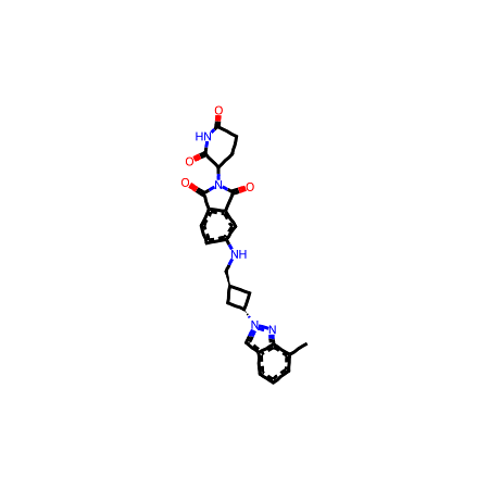 Cc1cccc2cn([C@H]3C[C@H](CNc4ccc5c(c4)C(=O)N(C4CCC(=O)NC4=O)C5=O)C3)nc12